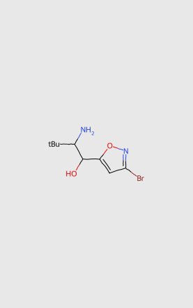 CC(C)(C)C(N)C(O)c1cc(Br)no1